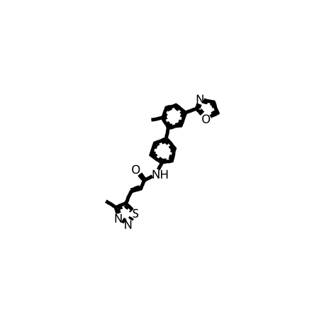 Cc1ccc(-c2ncco2)cc1-c1ccc(NC(=O)/C=C/c2snnc2C)cc1